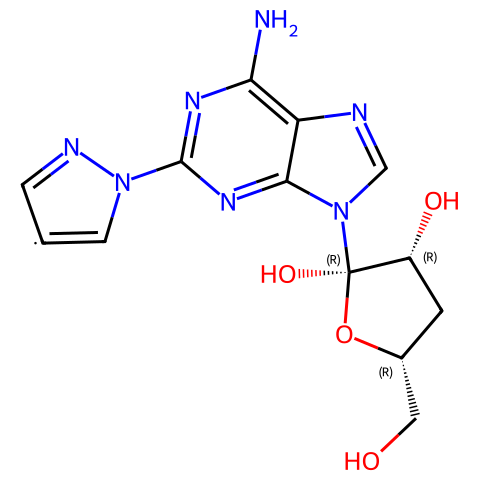 Nc1nc(-n2c[c]cn2)nc2c1ncn2[C@]1(O)O[C@@H](CO)C[C@H]1O